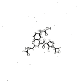 CC(=O)NCC1CN(S(=O)(=O)c2cnn(C3COC3)c2C)c2cc(NC(=O)O)ccc2O1